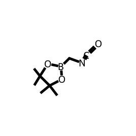 CC1(C)OB(CN=C=O)OC1(C)C